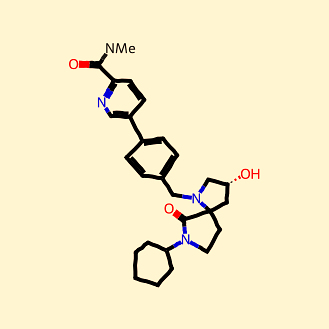 CNC(=O)c1ccc(-c2ccc(CN3C[C@H](O)CC34CCN(C3CCCCC3)C4=O)cc2)cn1